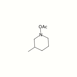 CC(=O)ON1CCCC(C)C1